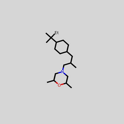 CCC(C)(C)C1CCC(CC(C)CN2CC(C)OC(C)C2)CC1